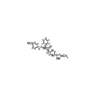 Cn1cc(-c2cnc(NC(=O)[C@H](NCCc3ccc(C#N)cc3)c3ccccc3)cn2)cn1